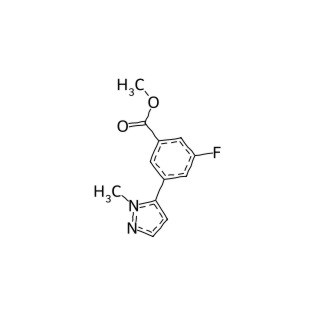 COC(=O)c1cc(F)cc(-c2ccnn2C)c1